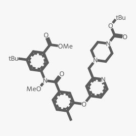 COC(=O)c1cc(N(OC)C(=O)c2ccc(C)c(Oc3ccnc(CN4CCN(C(=O)OC(C)(C)C)CC4)c3)c2)cc(C(C)(C)C)c1